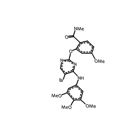 CNC(=O)c1ccc(OC)cc1Oc1ncc(Br)c(Nc2cc(OC)c(OC)c(OC)c2)n1